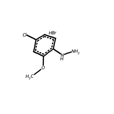 Br.COc1cc(Cl)ccc1NN